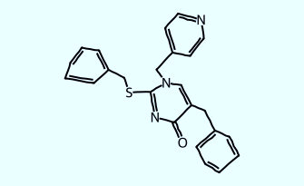 O=c1nc(SCc2ccccc2)n(Cc2ccncc2)cc1Cc1ccccc1